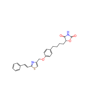 O=C1NC(=O)C(CCCCc2ccc(OCc3csc(C=Cc4ccccc4)n3)cc2)O1